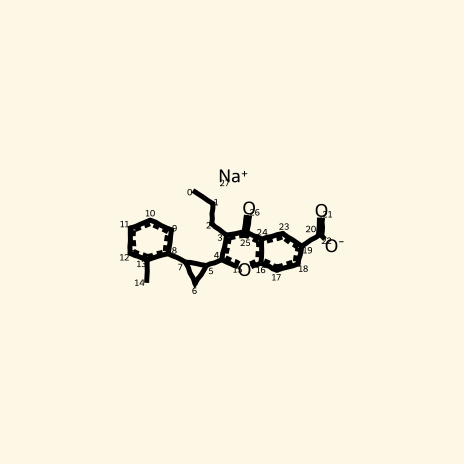 CCCc1c(C2CC2c2ccccc2C)oc2ccc(C(=O)[O-])cc2c1=O.[Na+]